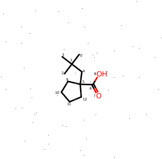 CC(C)(C)CC1(C(=O)O)CCCC1